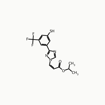 CC(C)OC(=O)/C=C\n1cnc(-c2cc(S)cc(C(F)(F)F)c2)n1